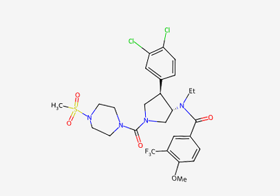 CCN(C(=O)c1ccc(OC)c(C(F)(F)F)c1)[C@@H]1CN(C(=O)N2CCN(S(C)(=O)=O)CC2)C[C@H]1c1ccc(Cl)c(Cl)c1